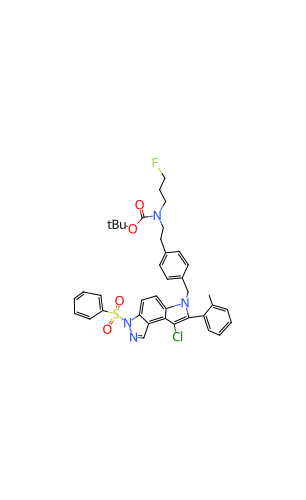 Cc1ccccc1-c1c(Cl)c2c3cnn(S(=O)(=O)c4ccccc4)c3ccc2n1Cc1ccc(CCN(CCCF)C(=O)OC(C)(C)C)cc1